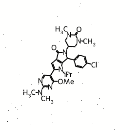 COc1nc(N(C)C)ncc1-c1cc2c(n1C(C)C)C(c1ccc(Cl)cc1)N(C1CN(C)C(=O)N(C)C1)C2=O